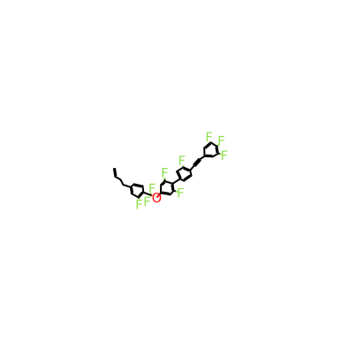 C=CCCc1ccc(C(F)(F)Oc2cc(F)c(-c3ccc(C#Cc4cc(F)c(F)c(F)c4)c(F)c3)c(F)c2)c(F)c1